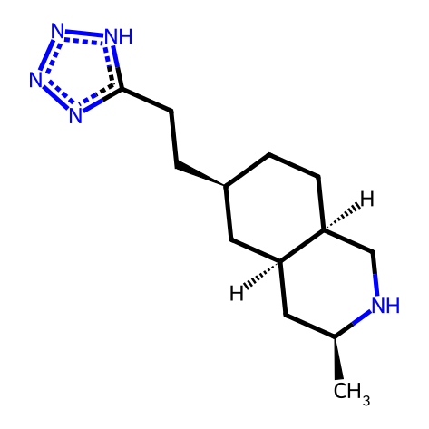 C[C@H]1C[C@H]2C[C@@H](CCc3nnn[nH]3)CC[C@H]2CN1